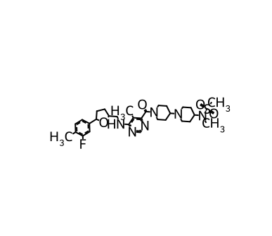 Cc1ccc(C2CCC(CNc3ncnc(C(=O)N4CCC(N5CCC(N(C)S(C)(=O)=O)CC5)CC4)c3C)O2)cc1F